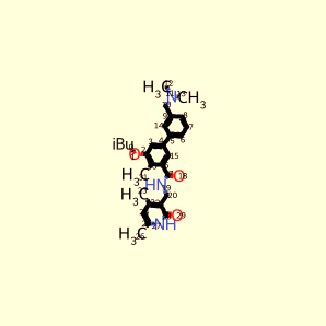 CCC(C)Oc1cc(-c2cccc(CN(C)C)c2)cc(C(=O)NCc2c(C)cc(C)[nH]c2=O)c1C